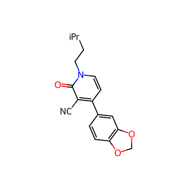 CC(C)CCn1ccc(-c2ccc3c(c2)OCO3)c(C#N)c1=O